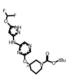 CC(C)(C)OC(=O)N1CCC[C@@H](Oc2cncc(Nc3cc(OC(F)F)[nH]n3)n2)C1